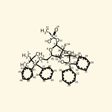 CC(C)(C)[Si](OC[C@H]1OC(OS(C)(=O)=O)[C@](F)(Br)[C@@H]1O[Si](c1ccccc1)(c1ccccc1)C(C)(C)C)(c1ccccc1)c1ccccc1